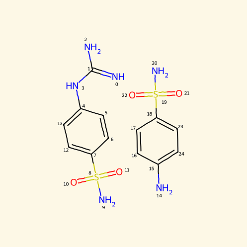 N=C(N)Nc1ccc(S(N)(=O)=O)cc1.Nc1ccc(S(N)(=O)=O)cc1